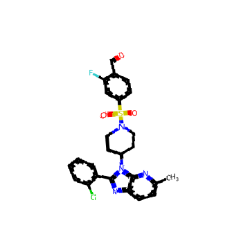 Cc1ccc2nc(-c3ccccc3Cl)n(C3CCN(S(=O)(=O)c4ccc(C=O)c(F)c4)CC3)c2n1